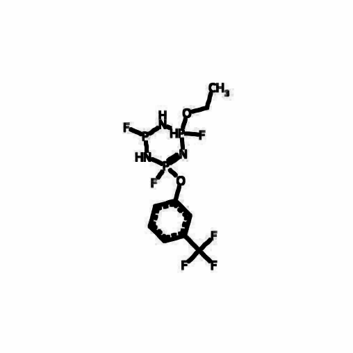 CCO[PH]1(F)N=P(F)(Oc2cccc(C(F)(F)F)c2)NP(F)N1